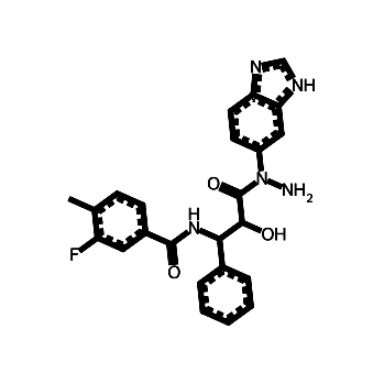 Cc1ccc(C(=O)NC(c2ccccc2)C(O)C(=O)N(N)c2ccc3nc[nH]c3c2)cc1F